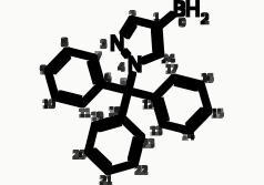 Bc1cnn(C(c2ccccc2)(c2ccccc2)c2ccccc2)c1